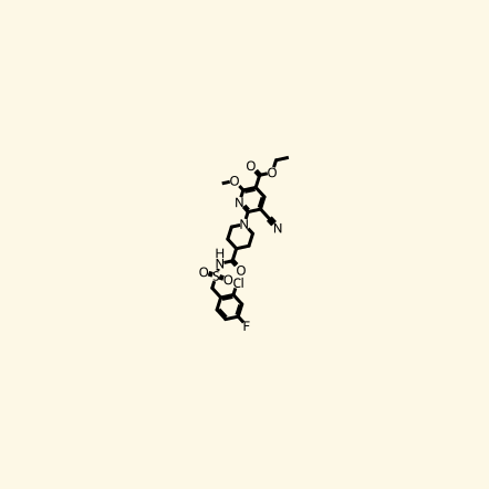 CCOC(=O)c1cc(C#N)c(N2CCC(C(=O)NS(=O)(=O)Cc3ccc(F)cc3Cl)CC2)nc1OC